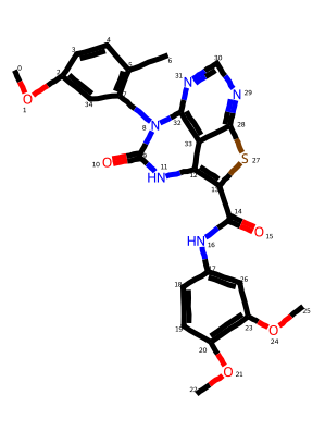 COc1ccc(C)c(N2C(=O)Nc3c(C(=O)Nc4ccc(OC)c(OC)c4)sc4ncnc2c34)c1